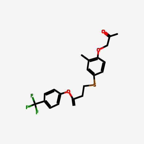 C=C(CCSc1ccc(OCC(C)=O)c(C)c1)Oc1ccc(C(F)(F)F)cc1